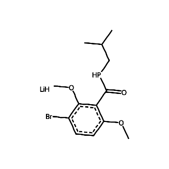 COc1ccc(Br)c(OC)c1C(=O)PCC(C)C.[LiH]